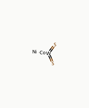 [Co].[Ni].[S]=[W]=[S]